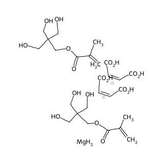 C=C(C)C(=O)OCC(CO)(CO)CO.C=C(C)C(=O)OCC(CO)(CO)CO.O=C(O)/C=C\C(=O)O.O=C(O)/C=C\C(=O)O.[MgH2]